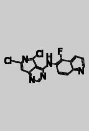 Fc1c(Nc2ncnc3cc(Cl)nc(Cl)c23)ccc2ncccc12